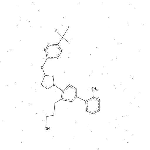 Cc1ccccc1-c1ccc(N2CCC(Oc3ccc(C(F)(F)F)cn3)C2)c(CCCO)c1